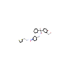 O=C(NCCc1cccs1)c1ccc(CN2C(=O)C3(COc4cc5c(cc43)CCO5)c3ccccc32)cc1